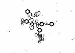 O=C(NC[SH](=O)=O)c1cccc(CN(C(=O)c2cc(-c3cc4c(cc3C(=O)N3Cc5ccccc5C[C@H]3CN3CCOCC3)OCO4)n3c2CCCC3)c2ccc(OCc3ccccc3)cc2)c1